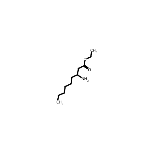 CCCCCCC(N)CC(=O)OCC